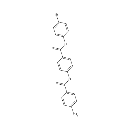 CCc1ccc(OC(=O)c2ccc(OC(=O)c3ccc(C)cc3)cc2)cc1